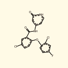 O=C(Nc1cc[nH]c(=O)c1)c1cc(Cl)ccc1Oc1ccc(F)cc1Cl